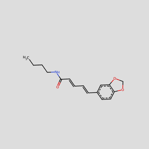 CCCCNC(=O)C=CC=Cc1ccc2c(c1)OCO2